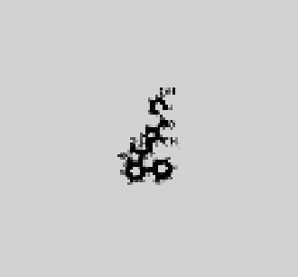 Cc1c(C(=O)N2CC[C@H](O)C2)c[nH]c1/C=C1\C(=O)Nc2cccc(-c3ccccc3F)c21